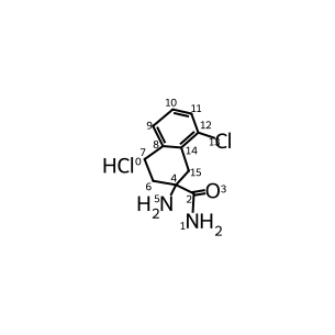 Cl.NC(=O)C1(N)CCc2cccc(Cl)c2C1